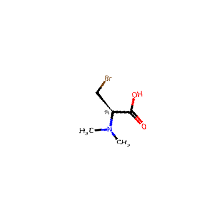 CN(C)[C@@H](CBr)C(=O)O